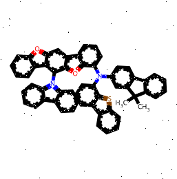 CC1(C)c2ccccc2-c2ccc(N(c3cccc4c3oc3c(-n5c6ccccc6c6ccccc65)c5c(cc34)oc3ccccc35)c3cccc4c3sc3ccccc34)cc21